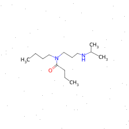 CCCCN(CCCNC(C)C)C(=O)CCC